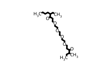 CCCCC(CC)C(=O)CCOCCOCCOCCOCCC(=O)C(C)CC